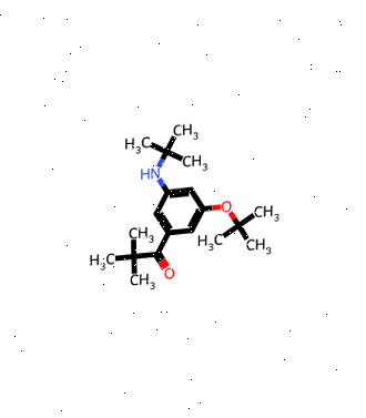 CC(C)(C)Nc1cc(OC(C)(C)C)cc(C(=O)C(C)(C)C)c1